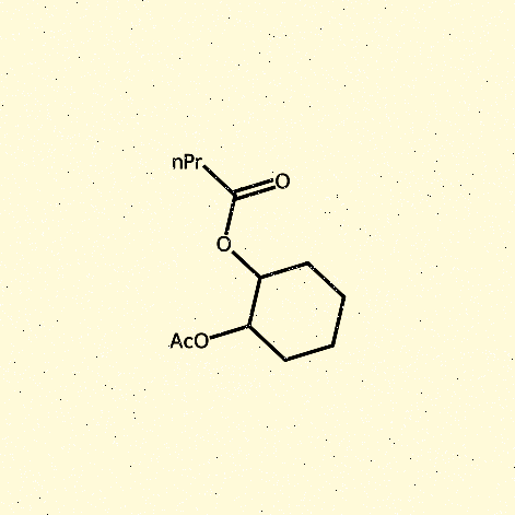 CCCC(=O)OC1CCCCC1OC(C)=O